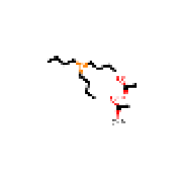 CC(=O)[O-].CC(=O)[O-].CCCCP(CCCC)CCCC.[Zn+2]